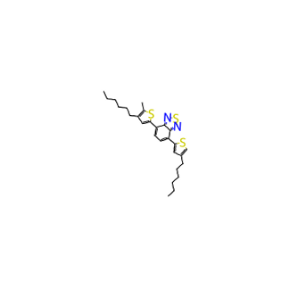 CCCCCCc1csc(-c2ccc(-c3cc(CCCCCC)c(C)s3)c3nsnc23)c1